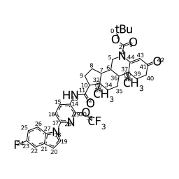 CC(C)(C)OC(=O)N1CC2C3CCC(C(=O)Nc4ccc(-n5ccc6cc(F)ccc65)nc4OC(F)(F)F)[C@@]3(C)CCC2[C@@]2(C)CCC(=O)C=C12